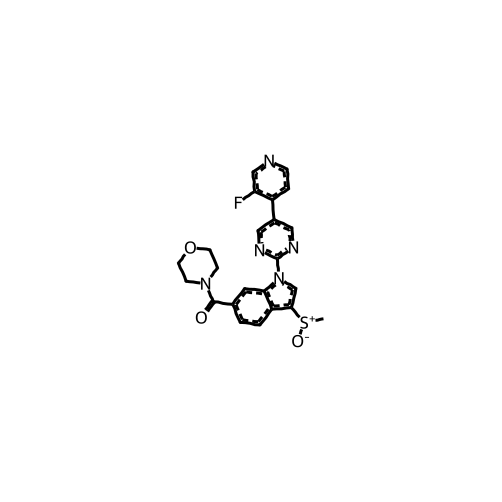 C[S+]([O-])c1cn(-c2ncc(-c3ccncc3F)cn2)c2cc(C(=O)N3CCOCC3)ccc12